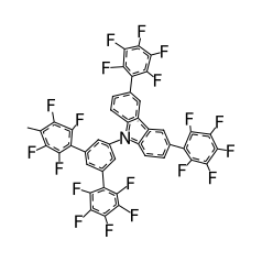 Cc1c(F)c(F)c(-c2cc(-c3c(F)c(F)c(F)c(F)c3F)cc(-n3c4ccc(-c5c(F)c(F)c(F)c(F)c5F)cc4c4cc(-c5c(F)c(F)c(F)c(F)c5F)ccc43)c2)c(F)c1F